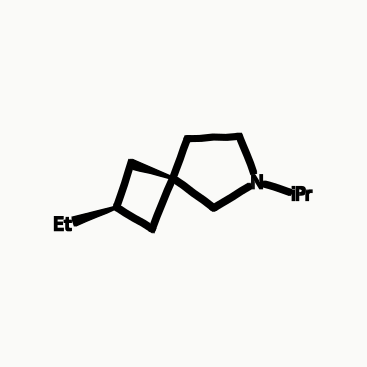 CC[C@H]1C[C@]2(CCN(C(C)C)C2)C1